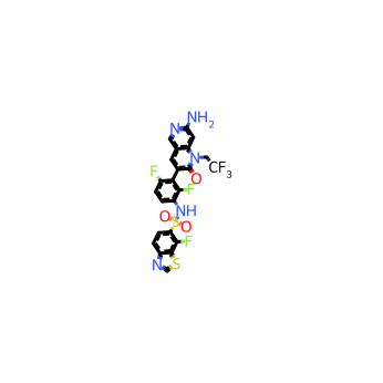 Nc1cc2c(cn1)cc(-c1c(F)ccc(NS(=O)(=O)c3ccc4ncsc4c3F)c1F)c(=O)n2CC(F)(F)F